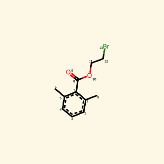 Cc1cccc(C)c1C(=O)OCCBr